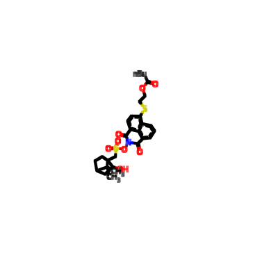 CCCCC(=O)OCCSc1ccc2c3c(cccc13)C(=O)N(OS(=O)(=O)CC13CCC(CC1O)C3(C)C)C2=O